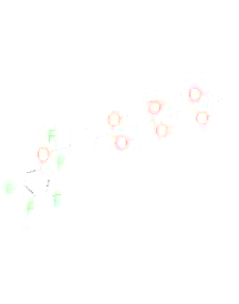 CC1COC(C2COC(C3COC(C4CCC(C(F)(F)Oc5cc(F)c(F)c(F)c5)CC4)OC3)OC2)OC1